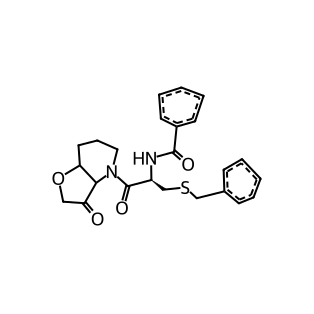 O=C(N[C@@H](CSCc1ccccc1)C(=O)N1CCCC2OCC(=O)C21)c1ccccc1